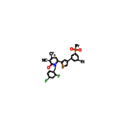 CCc1cc(-c2csc(-c3cc(C(F)(F)F)c(C#N)c(=O)n3Cc3ccc(F)cc3F)c2)cc(S(=O)(=O)C(C)C)c1